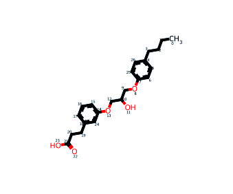 CCCCc1ccc(OCC(O)COc2cccc(CCC(=O)O)c2)cc1